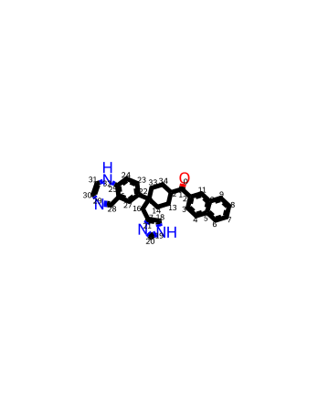 O=C(c1ccc2ccccc2c1)C1CCC(Cc2c[nH]cn2)(c2ccc3c(c2)C=NC=CN3)CC1